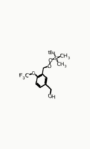 CC(C)(C)[Si](C)(C)OOCc1cc(CO)ccc1OC(F)(F)F